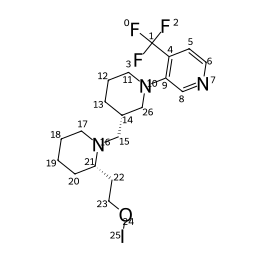 FC(F)(F)c1ccncc1N1CCC[C@@H](CN2CCCC[C@H]2CCOI)C1